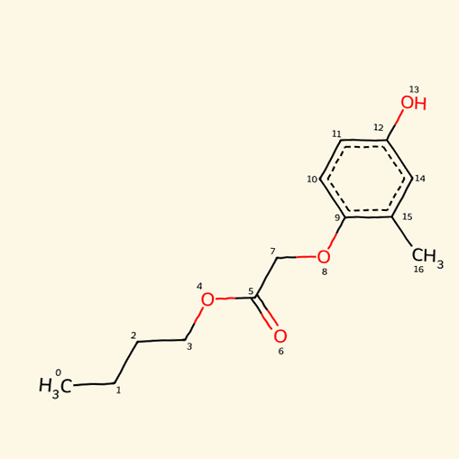 CCCCOC(=O)COc1ccc(O)cc1C